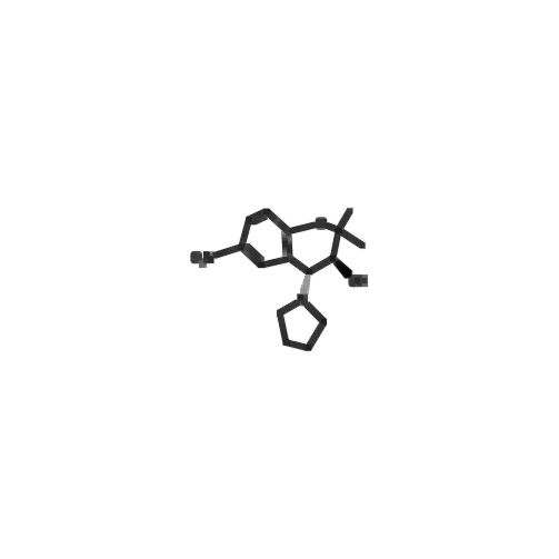 CC1(C)Oc2ccc([N+](=O)[O-])cc2[C@@H](N2CCCC2)[C@@H]1O